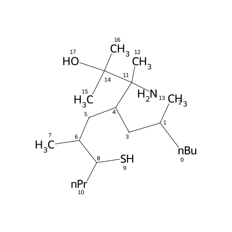 CCCCC(C)CC(CC(C)C(S)CCC)C(C)(N)C(C)(C)O